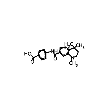 CN1CCC(C)(C)c2ccc(C(=O)Nc3ccc(C(=O)O)cc3)cc21